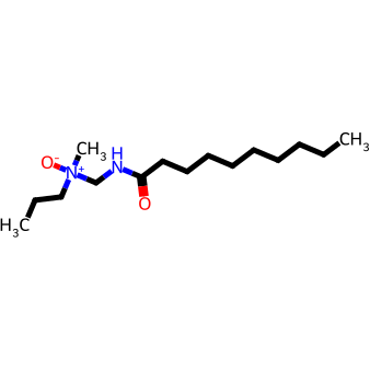 CCCCCCCCCC(=O)NC[N+](C)([O-])CCC